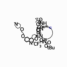 C[C@H]1/C=C\CCCCC[C@H](NC(=O)OC(C)(C)C)C(=O)N2C[C@@]3(CCc4c(c(C(F)(F)F)nc5ccc(OCCOC6CCN(C)CC6)cc45)O3)C[C@H]2C(=O)N[C@@]1(C)C(=O)NS(=O)(=O)C1(C)CC1